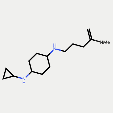 C=C(CCCNC1CCC(NC2CC2)CC1)NC